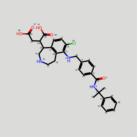 CC(C)(NC(=O)c1ccc(CNc2c(Cl)ccc3c2CCNCC3C(CC(=O)O)C(=O)O)cc1)c1ccccc1